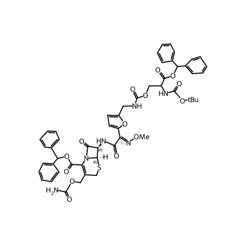 CO/N=C(/C(=O)N[C@@H]1C(=O)N2C(C(=O)OC(c3ccccc3)c3ccccc3)=C(COC(N)=O)CS[C@H]12)c1ccc(CNC(=O)OCC(NC(=O)OC(C)(C)C)C(=O)OC(c2ccccc2)c2ccccc2)o1